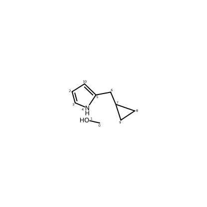 CO.c1c[nH]c(CC2CC2)c1